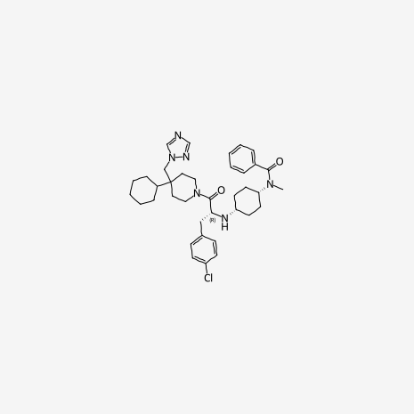 CN(C(=O)c1ccccc1)[C@H]1CC[C@@H](N[C@H](Cc2ccc(Cl)cc2)C(=O)N2CCC(Cn3cncn3)(C3CCCCC3)CC2)CC1